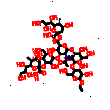 CCOC1OC(CO)[C@@H](OC2OC(CO)[C@H](O)[C@H](OC3OC(CO[C@]4(C(=O)O)C[C@@H](O)[C@@H](C)C([C@H](O)[C@H](O)CO)O4)[C@@H](O)[C@H](O[C@@H]4OC(CO)[C@H](O)[C@H](O[C@@]5(C(=O)O)CC(O)[C@H](C)C([C@H](O)[C@H](O)CO)O5)C4O)[C@@H]3NC(C)=O)[C@@H]2O)[C@H](O)[C@@H]1O